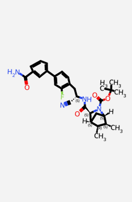 C[C@@H]1[C@H](C)[C@@H]2C[C@@H]1[C@@H](C(=O)N[C@H](C#N)Cc1ccc(-c3cccc(C(N)=O)c3)cc1F)N2C(=O)OC(C)(C)C